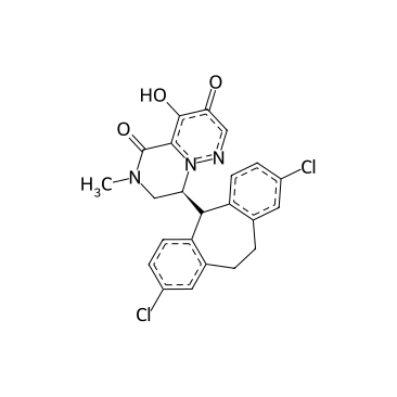 CN1C[C@H](C2c3ccc(Cl)cc3CCc3cc(Cl)ccc32)n2ncc(=O)c(O)c2C1=O